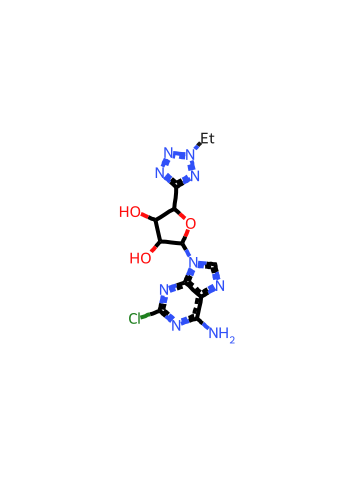 CCn1nnc(C2OC(n3cnc4c(N)nc(Cl)nc43)C(O)C2O)n1